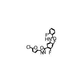 O=C(Nc1cc(-c2nnc(-c3ccc(Cl)o3)o2)c(F)cc1F)c1ccccc1F